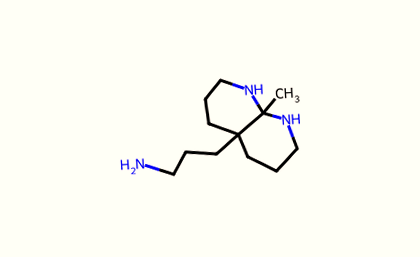 CC12NCCCC1(CCCN)CCCN2